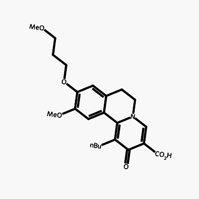 CCCCc1c2n(cc(C(=O)O)c1=O)CCc1cc(OCCCOC)c(OC)cc1-2